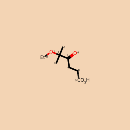 CCOC(C)(C)C(=O)CCC(=O)O